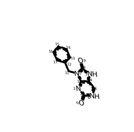 O=c1nc2c(c[nH]1)[nH]c(=O)n2Cc1ccccc1